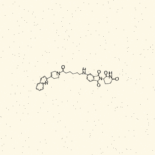 O=C1CCC(N2C(=O)c3ccc(NCCCCCC(=O)N4CC=C(c5ccc6ccccc6n5)CC4)cc3C2=O)C(=O)N1